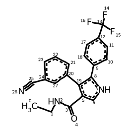 CCNC(=O)c1c[nH]c(-c2ccc(C(F)(F)F)cc2)c1-c1cccc(C#N)c1